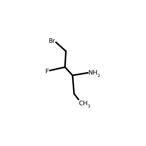 CCC(N)C(F)CBr